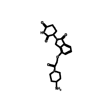 NC1CCN(C(=O)COc2cccc3c2CN(C2CCC(=O)NC2=O)C3=O)CC1